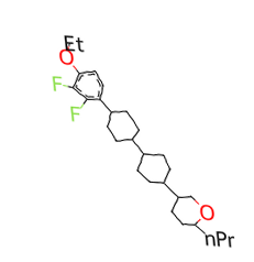 CCCC1CCC(C2CCC(C3CCC(c4ccc(OCC)c(F)c4F)CC3)CC2)CO1